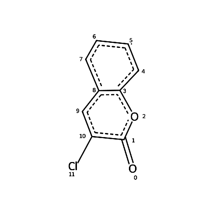 O=c1oc2c[c]ccc2cc1Cl